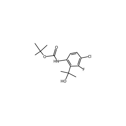 CC(C)(C)OC(=O)Nc1ccc(Cl)c(F)c1C(C)(C)O